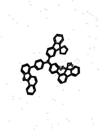 CC1(C)c2ccccc2-c2cccc(-c3ccc(N(c4ccc(-c5cccc6oc7c8ccccc8ccc7c56)cc4)c4ccc5c(c4)C4(CCCC4)c4ccccc4-5)cc3)c21